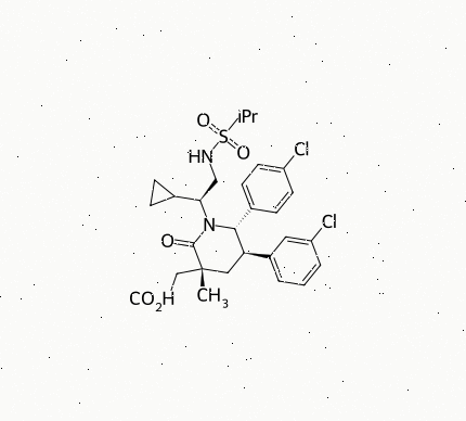 CC(C)S(=O)(=O)NC[C@H](C1CC1)N1C(=O)[C@@](C)(CC(=O)O)C[C@H](c2cccc(Cl)c2)[C@H]1c1ccc(Cl)cc1